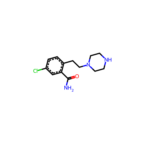 NC(=O)c1cc(Cl)ccc1CCN1CCNCC1